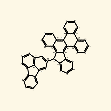 c1ccc2c(c1)-c1cccc3cc(-n4c5ccccc5c5c6c7ccccc7c7ccccc7c6c6ccccc6c54)cc-2c13